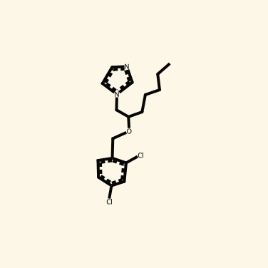 CCCCCC(Cn1ccnc1)OCc1ccc(Cl)cc1Cl